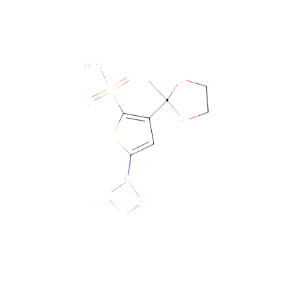 CC1(c2cc(N3OSO3)sc2S(N)(=O)=O)OCCO1